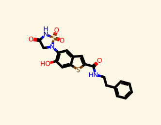 O=C1CN(c2cc3cc(C(=O)NCCc4ccccc4)sc3cc2O)S(=O)(=O)N1